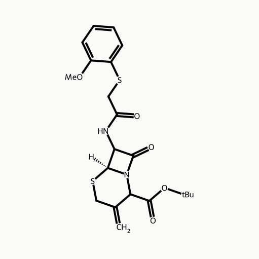 C=C1CS[C@H]2C(NC(=O)CSc3ccccc3OC)C(=O)N2C1C(=O)OC(C)(C)C